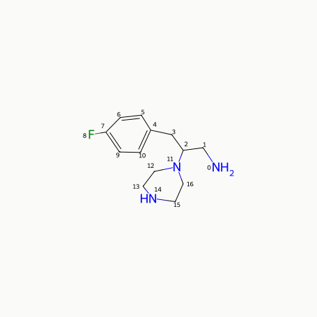 NCC(Cc1ccc(F)cc1)N1CCNCC1